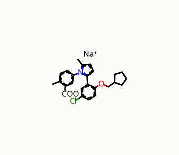 Cc1ccc(-n2c(C)ccc2-c2cc(Cl)ccc2OCC2CCCC2)cc1C(=O)[O-].[Na+]